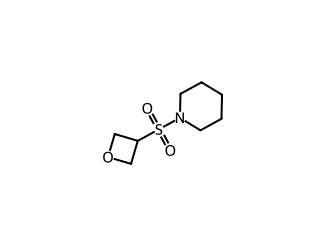 O=S(=O)(C1COC1)N1CCCCC1